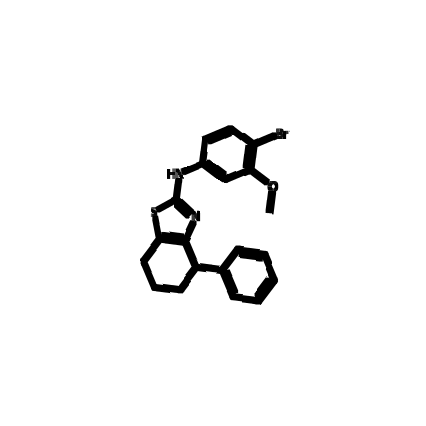 COc1cc(Nc2nc3c(s2)CCCC3c2ccccc2)ccc1Br